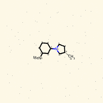 CNC1CCCC(N2CC[C@H](C)C2)C1